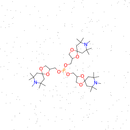 CN1C(C)(C)CC2(CC1(C)C)OCC(COP(OCC1COC3(CC(C)(C)N(C)C(C)(C)C3)O1)OCC1COC3(CC(C)(C)N(C)C(C)(C)C3)O1)O2